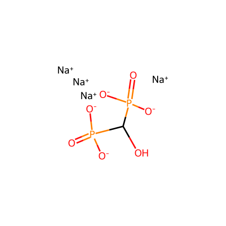 O=P([O-])([O-])C(O)P(=O)([O-])[O-].[Na+].[Na+].[Na+].[Na+]